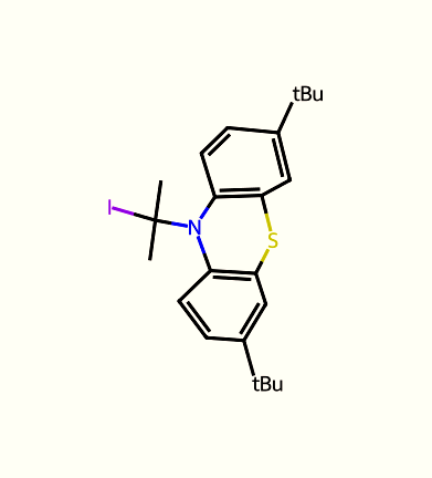 CC(C)(C)c1ccc2c(c1)Sc1cc(C(C)(C)C)ccc1N2C(C)(C)I